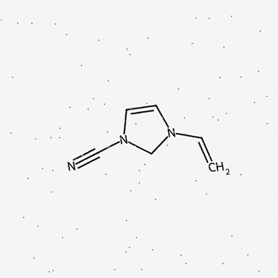 C=CN1C=CN(C#N)C1